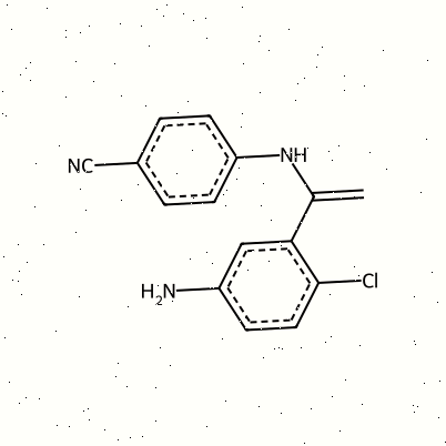 C=C(Nc1ccc(C#N)cc1)c1cc(N)ccc1Cl